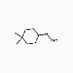 CC1(C)CCC(OC=O)CC1